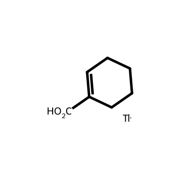 O=C(O)C1=CCCCC1.[Tl]